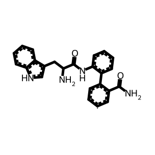 NC(=O)c1c[c]ccc1-c1ccccc1NC(=O)C(N)Cc1c[nH]c2ccccc12